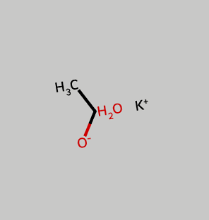 CC[O-].O.[K+]